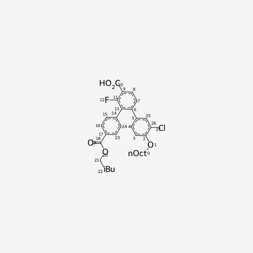 CCCCCCCCOc1ccc(-c2ccc(C(=O)O)c(F)c2-c2ccc(C(=O)OCC(C)CC)cc2)cc1Cl